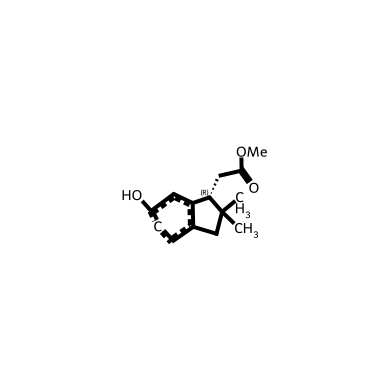 COC(=O)C[C@H]1c2cc(O)ccc2CC1(C)C